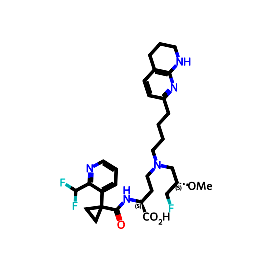 CO[C@H](CF)CN(CCCCc1ccc2c(n1)NCCC2)CC[C@H](NC(=O)C1(c2cccnc2C(F)F)CC1)C(=O)O